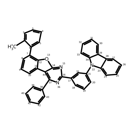 Cc1ccccc1-c1cccc2c1oc1nc(-c3cccc(-n4c5ccccc5c5ccccc54)c3)nc(-c3ccccc3)c12